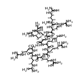 N=C(N)NCCC[C@H](NC(=O)[C@H](CCCNC(N)N)NC(=O)[C@H](CCCNC(=N)N)NC(=O)[C@H](CCCNC(=N)N)NC(=O)[C@H](CCCNCN)NC(=O)[C@H](CCCNC(=N)N)NC(=O)[C@H](CCCNC(=N)N)NC(=O)[C@H](CCCNC(=N)N)NC(=O)[C@@H](N)CCCNC(=N)N)C(=O)O